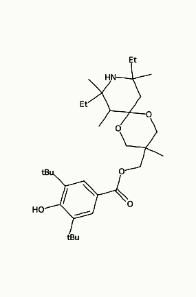 CCC1(C)CC2(OCC(C)(COC(=O)c3cc(C(C)(C)C)c(O)c(C(C)(C)C)c3)CO2)C(C)C(C)(CC)N1